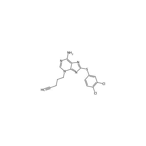 C#CCCCn1cnc(N)c2nc(Sc3ccc(Cl)c(Cl)c3)nc1-2